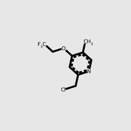 Cc1cnc(CCl)cc1OCC(F)(F)F